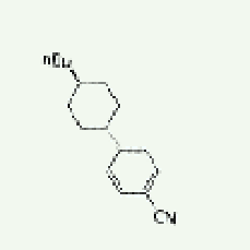 CCCC[C@H]1CC[C@H](c2ccc(C#N)cc2)CC1